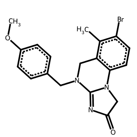 COc1ccc(CN2Cc3c(ccc(Br)c3C)N3CC(=O)N=C23)cc1